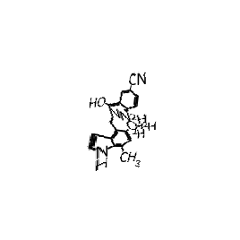 [2H]C([2H])([2H])Oc1cc(C)c2[nH]ccc2c1Cn1nc2ccc(C#N)cc2c1O